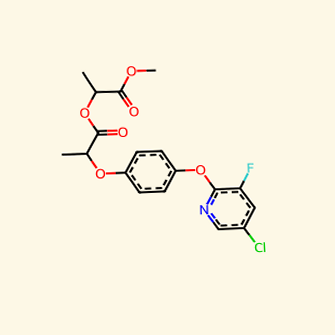 COC(=O)C(C)OC(=O)C(C)Oc1ccc(Oc2ncc(Cl)cc2F)cc1